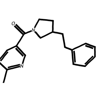 Cc1ccc(C(=O)N2CCC(CCc3ccccc3)C2)cn1